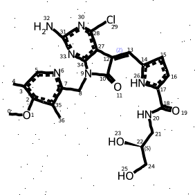 COc1c(C)cnc(CN2C(=O)/C(=C\c3ccc(C(=O)NC[C@H](O)CO)[nH]3)c3c(Cl)nc(N)nc32)c1C